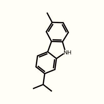 Cc1ccc2[nH]c3cc(C(C)C)ccc3c2c1